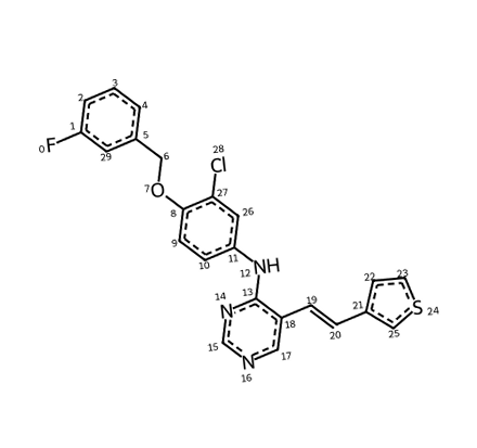 Fc1cccc(COc2ccc(Nc3ncncc3C=Cc3ccsc3)cc2Cl)c1